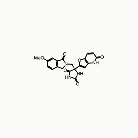 COc1ccc2c(c1)C(=O)N(C[C@@]1(c3cc4[nH]c(=O)ccc4o3)NC(=O)NC1=O)C2